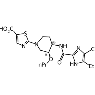 CCCO[C@H]1CN(c2ncc(C(=O)O)s2)CC[C@H]1NC(=O)c1nc(Cl)c(CC)[nH]1